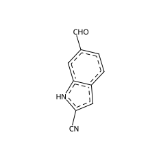 N#Cc1cc2ccc(C=O)cc2[nH]1